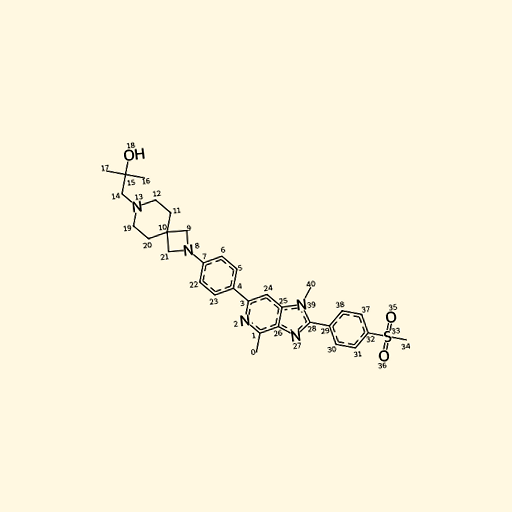 Cc1nc(-c2ccc(N3CC4(CCN(CC(C)(C)O)CC4)C3)cc2)cc2c1nc(-c1ccc(S(C)(=O)=O)cc1)n2C